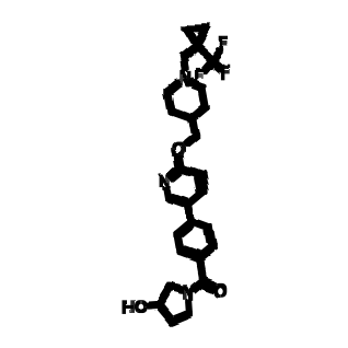 O=C(c1ccc(-c2ccc(OCC3CCN(CC4(C(F)(F)F)CC4)CC3)nc2)cc1)N1CCC(O)C1